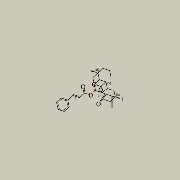 C=C1C(=O)[C@]23CC[C@H]1CC2[C@@]12CCC[C@@](C)(COC1=O)C2C[C@H]3OC(=O)/C=C/c1ccccc1